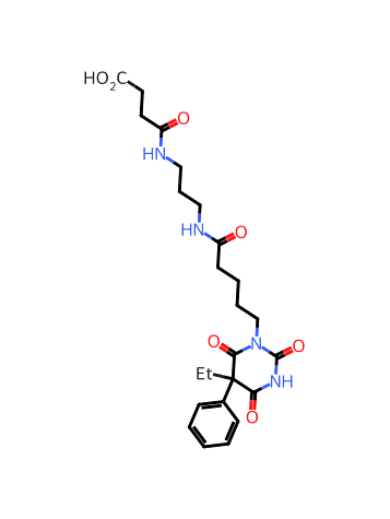 CCC1(c2ccccc2)C(=O)NC(=O)N(CCCCC(=O)NCCCNC(=O)CCC(=O)O)C1=O